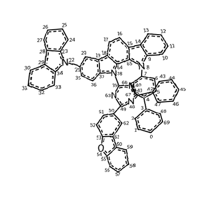 c1ccc(-c2ccc(-n3c4ccccc4c4ccc5c6cc(-n7c8ccccc8c8ccccc87)ccc6n(-c6nc(-c7ccccc7)nc(-c7ccc8oc9ccccc9c8c7)n6)c5c43)cc2)cc1